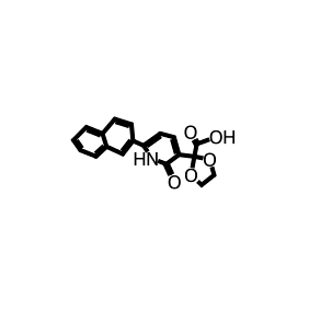 O=C(O)C1(c2ccc(-c3ccc4ccccc4c3)[nH]c2=O)OCCO1